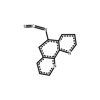 S=C=Nc1cc2cccnc2c2ncccc12